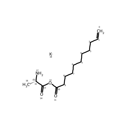 C=CCCCCCCCCC(=O)OC(=O)[C@H](C)N.[K]